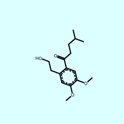 COc1cc(CCO)c(C(=O)CCC(C)C)cc1OC